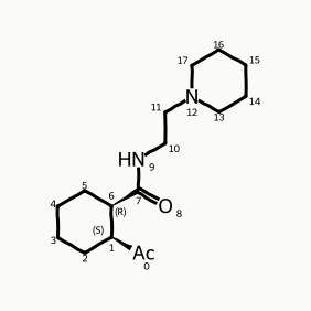 CC(=O)[C@H]1CCCC[C@H]1C(=O)NCCN1CCCCC1